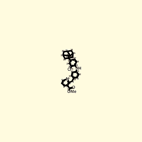 COC(=O)c1cccnc1Cc1ccc(Nc2ccc(C34CC5CC(CC(C5)C3)C4)cc2Cl)cc1